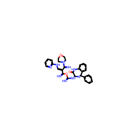 N=C(NC1N=C(c2ccccc2)c2ccccc2NC1=O)OC(=N)/C(=C/Nc1ccccn1)C(=N)N1CCOCC1